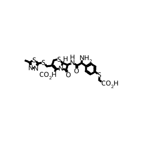 Cc1nnc(SCC2=C(C(=O)O)N3C(=O)C(NC(=O)C(N)c4ccc(SCC(=O)O)cc4)[C@@H]3SC2)s1